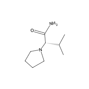 CC(C)[C@@H](C(N)=O)N1CCCC1